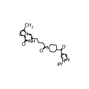 Cc1ccc2c(=O)[nH]c(CCCC(=O)N3CCC(C(=O)c4cnn(C(C)C)c4)CC3)cn12